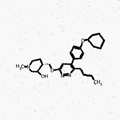 CCCCc1nnc(OC[C@H]2CCN(C)CC2O)cc1-c1ccc(OC2CCCCC2)cc1